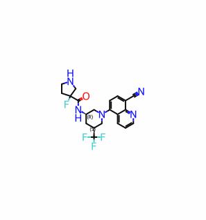 N#Cc1ccc(N2C[C@H](NC(=O)C3(F)CCNC3)C[C@H](C(F)(F)F)C2)c2cccnc12